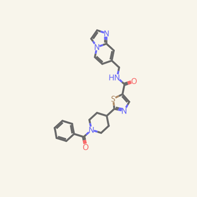 O=C(NCc1ccn2ccnc2c1)c1cnc(C2CCN(C(=O)c3ccccc3)CC2)s1